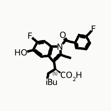 CCC(C)C[C@H](C(=O)O)c1c(C)n(C(=O)c2cccc(F)c2)c2cc(F)c(O)cc12